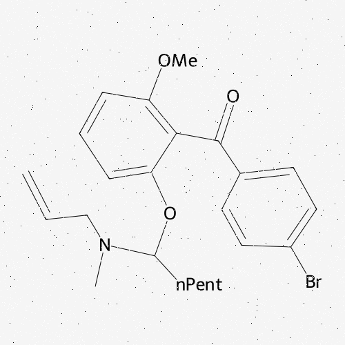 C=CCN(C)C(CCCCC)Oc1cccc(OC)c1C(=O)c1ccc(Br)cc1